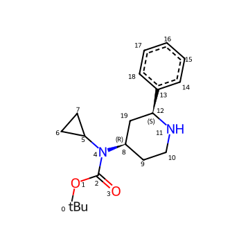 CC(C)(C)OC(=O)N(C1CC1)[C@@H]1CCN[C@H](c2ccccc2)C1